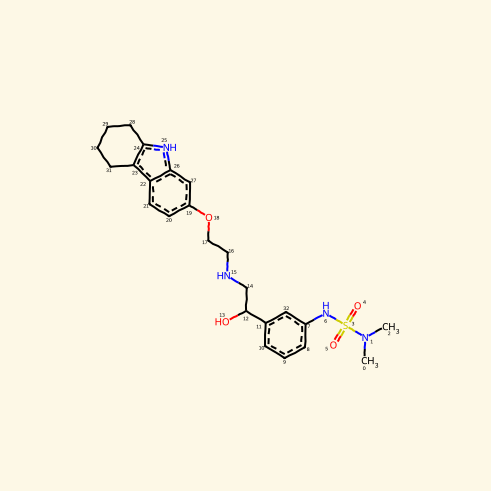 CN(C)S(=O)(=O)Nc1cccc(C(O)CNCCOc2ccc3c4c([nH]c3c2)CCCC4)c1